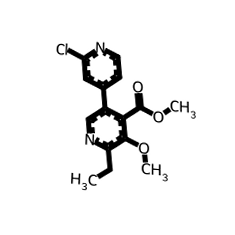 CCc1ncc(-c2ccnc(Cl)c2)c(C(=O)OC)c1OC